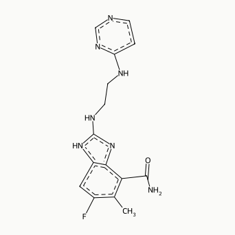 Cc1c(F)cc2[nH]c(NCCNc3ccncn3)nc2c1C(N)=O